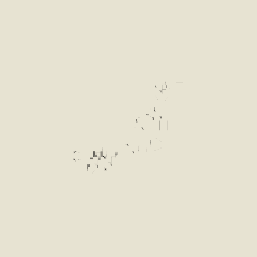 Cc1ccc(-c2nc(C)c(C(=O)N3CC[C@@H](C(=O)N4CCC(O)(Cn5cnn6c(-c7ccoc7)ccc6c5=O)CC4)[C@H](c4ccccc4)C3)s2)cn1